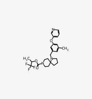 Cc1cc(CN2CCCC23CCN(C(=O)OC(C)C(F)(F)F)CC3)cc(Oc2cccnc2)c1